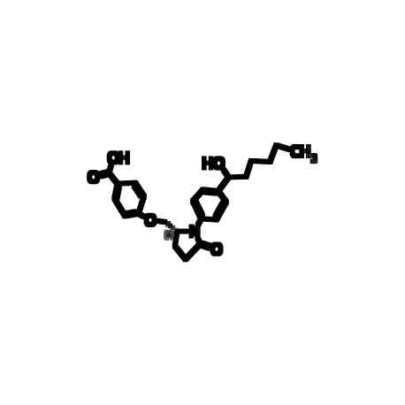 CCCCCC(O)c1ccc(N2C(=O)CC[C@@H]2COc2ccc(C(=O)O)cc2)cc1